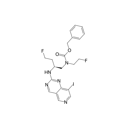 O=C(OCc1ccccc1)N(CCF)C[C@H](CCF)Nc1ncc2cncc(I)c2n1